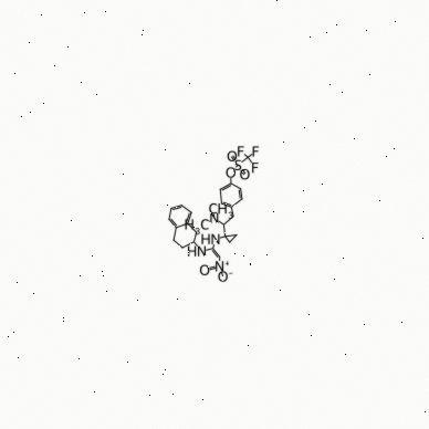 CN(C)C(Cc1ccc(OS(=O)(=O)C(F)(F)F)cc1)C1(NC(=C[N+](=O)[O-])NC2CCc3ccccc3C2)CC1